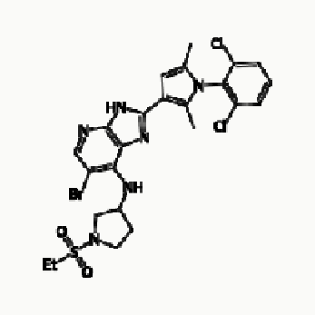 CCS(=O)(=O)N1CCC(Nc2c(Br)cnc3[nH]c(-c4cc(C)n(-c5c(Cl)cccc5Cl)c4C)nc23)C1